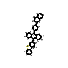 c1ccc2cc(-c3ccc(-c4c5ccccc5c(-c5ccc6c(c5)sc5ccccc56)c5ccccc45)cc3)ccc2c1